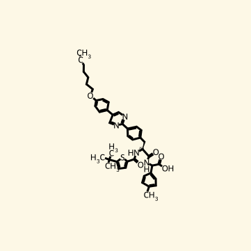 CCCCCCCOc1ccc(-c2cnc(-c3ccc(C[C@H](NC(=O)c4ccc(C(C)(C)C)s4)C(=O)NC(C(=O)O)c4ccc(C)cc4)cc3)nc2)cc1